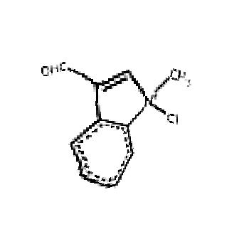 C[N+]1(Cl)C=C(C=O)c2ccccc21